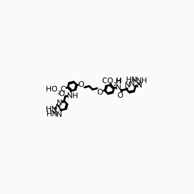 O=C(Nc1cc(OCCCCOc2ccc(NC(=O)C3=NN4NNN=C4C=C3)c(C(=O)O)c2)ccc1C(=O)O)C1=NN2NNN=C2C=C1